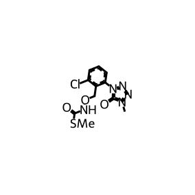 CSC(=O)NOCc1c(Cl)cccc1-n1nnn(C)c1=O